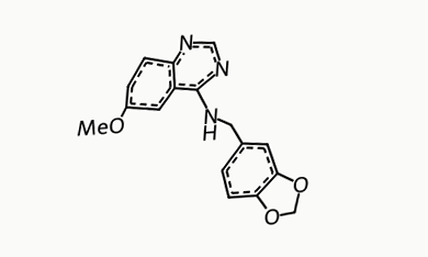 COc1ccc2ncnc(NCc3ccc4c(c3)OCO4)c2c1